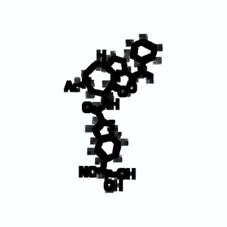 CC(=O)N1CC[C@H]2CC[C@@H](C(=O)N(C)c3ccccc3)N2C(=O)[C@@H](NC(=O)c2cc3cc(C(C#N)P(O)O)ccc3s2)C1